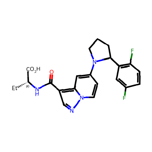 CC[C@@H](NC(=O)c1cnn2ccc(N3CCCC3c3cc(F)ccc3F)cc12)C(=O)O